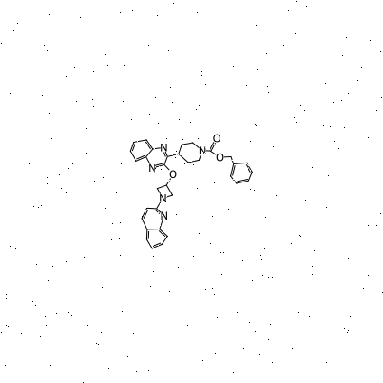 O=C(OCc1ccccc1)N1CCC(c2nc3ccccc3nc2OC2CN(c3ccc4ccccc4n3)C2)CC1